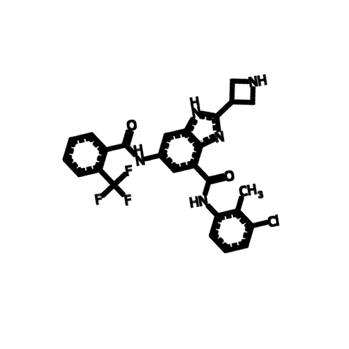 Cc1c(Cl)cccc1NC(=O)c1cc(NC(=O)c2ccccc2C(F)(F)F)cc2[nH]c(C3CNC3)nc12